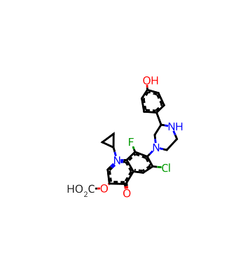 O=C(O)Oc1cn(C2CC2)c2c(F)c(N3CCNC(c4ccc(O)cc4)C3)c(Cl)cc2c1=O